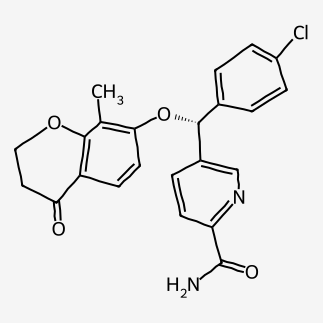 Cc1c(O[C@H](c2ccc(Cl)cc2)c2ccc(C(N)=O)nc2)ccc2c1OCCC2=O